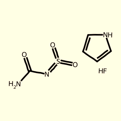 F.NC(=O)N=S(=O)=O.c1cc[nH]c1